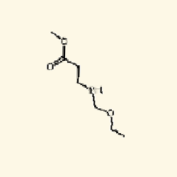 CCOCPCCC(=O)OC